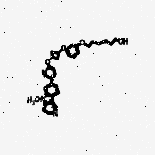 Cn1c2ccncc2c2ccc(-c3ccc(O[C@H]4C[C@H](Oc5cccc(OCCCCCCO)c5)C4)nc3)cc21